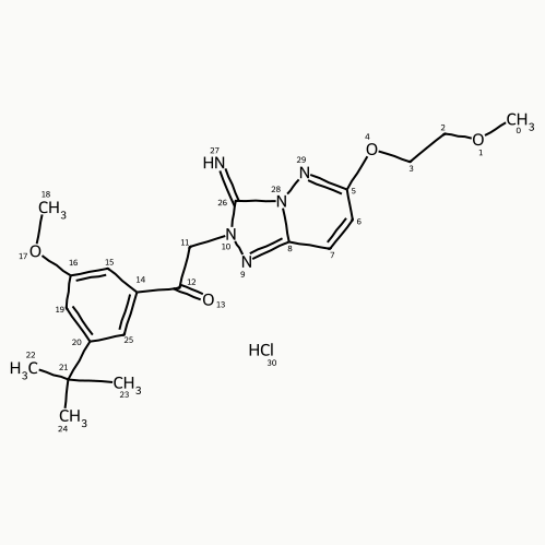 COCCOc1ccc2nn(CC(=O)c3cc(OC)cc(C(C)(C)C)c3)c(=N)n2n1.Cl